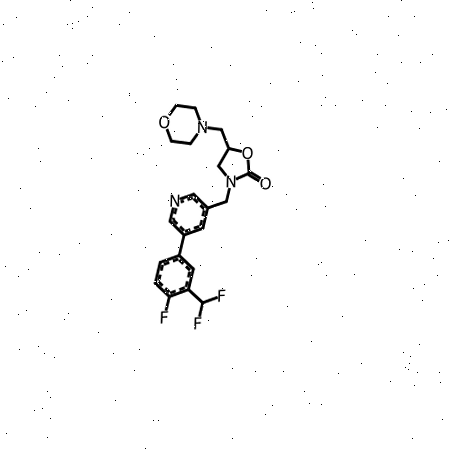 O=C1OC(CN2CCOCC2)CN1Cc1cncc(-c2ccc(F)c(C(F)F)c2)c1